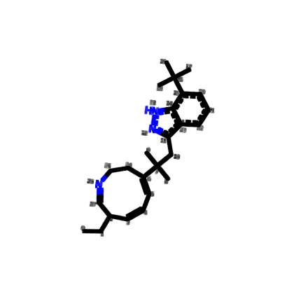 CCC1/C=C\C=C(\C(C)(C)Cc2n[nH]c3c(C(C)(C)C)cccc23)CC/N=C\1